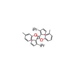 Cc1cccc([O][Zr]([O]c2cccc(C)c2)([C]2=C(C(C)C)C=CC2)[C]2=C(C(C)C)C=CC2)c1